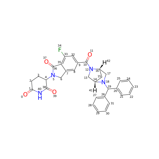 O=C1CCC(N2Cc3cc(C(=O)N4C[C@@H]5C[C@H]4CN5C(c4ccccc4)c4ccccc4)cc(F)c3C2=O)C(=O)N1